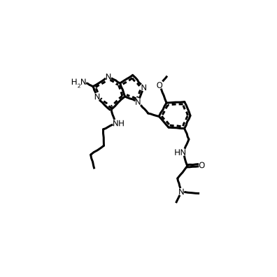 CCCCNc1nc(N)nc2cnn(Cc3cc(CNC(=O)CN(C)C)ccc3OC)c12